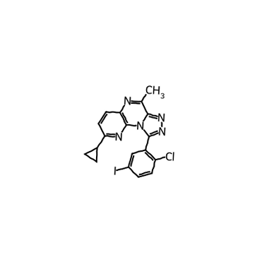 Cc1nc2ccc(C3CC3)nc2n2c(-c3cc(I)ccc3Cl)nnc12